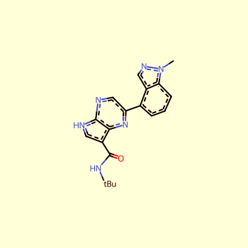 Cn1ncc2c(-c3cnc4[nH]cc(C(=O)NC(C)(C)C)c4n3)cccc21